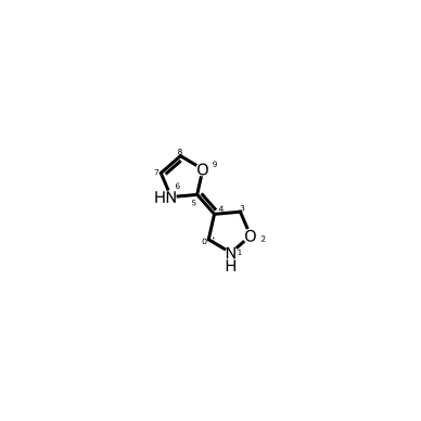 [C]1NOCC1=C1NC=CO1